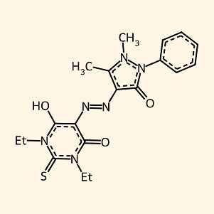 CCn1c(O)c(/N=N/c2c(C)n(C)n(-c3ccccc3)c2=O)c(=O)n(CC)c1=S